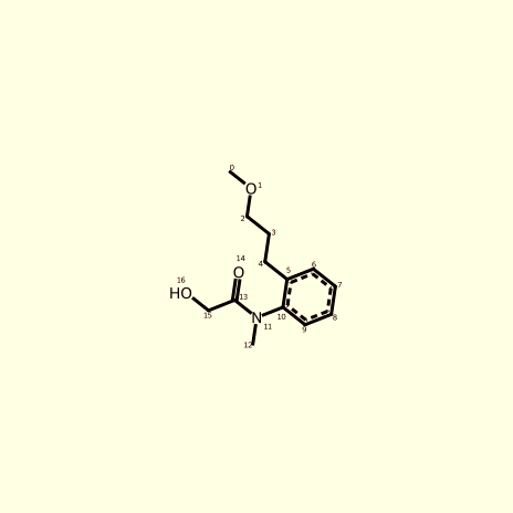 COCCCc1ccccc1N(C)C(=O)CO